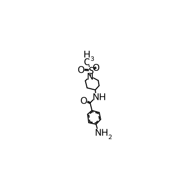 CS(=O)(=O)N1CCC(NC(=O)c2ccc(N)cc2)CC1